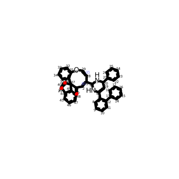 C=C1/C=C(C2NC(c3ccccc3-c3ccccc3)=CC(c3ccccc3)N2)\C=C/Oc2ccccc2C12C1=C(CCC=C1)c1ccccc12